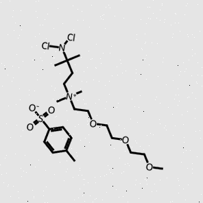 COCCOCCOCC[N+](C)(C)CCC(C)(C)N(Cl)Cl.Cc1ccc(S(=O)(=O)[O-])cc1